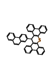 c1ccc2c(c1)ccc1cc(C3c4c(c5ccccc5c5ccccc45)Sc4c3c3ccccc3c3ccccc43)ccc12